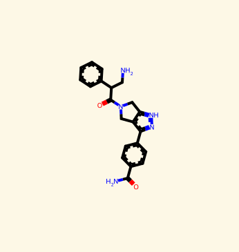 NCC(C(=O)N1Cc2[nH]nc(-c3ccc(C(N)=O)cc3)c2C1)c1ccccc1